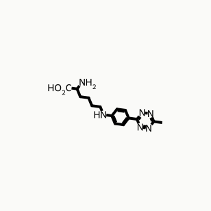 Cc1nnc(-c2ccc(NCCCCC(N)C(=O)O)cc2)nn1